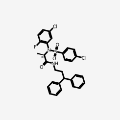 C[C@H](C(=O)NCCC(c1ccccc1)c1ccccc1)N(c1cc(Cl)ccc1F)S(=O)(=O)c1ccc(Cl)cc1